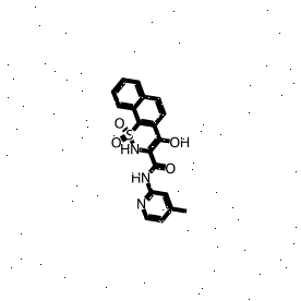 Cc1ccnc(NC(=O)C2=C(O)c3ccc4ccccc4c3S(=O)(=O)N2)c1